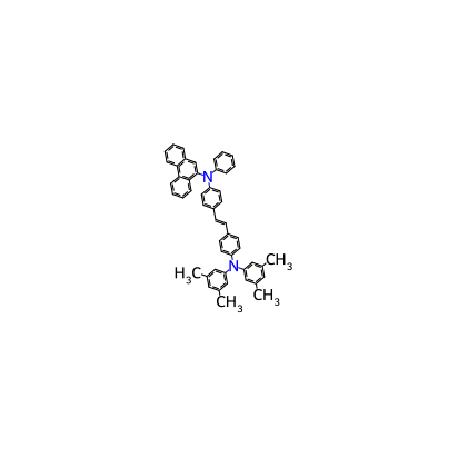 Cc1cc(C)cc(N(c2ccc(/C=C/c3ccc(N(c4ccccc4)c4cc5ccccc5c5ccccc45)cc3)cc2)c2cc(C)cc(C)c2)c1